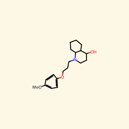 COc1ccc(OCCCN2CCC(O)C3CCCCC32)cc1